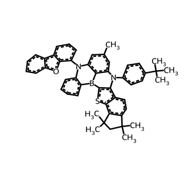 Cc1cc2c3c(c1)N(c1cccc4c1oc1ccccc14)c1ccccc1B3c1sc3c4c(ccc3c1N2c1ccc(C(C)(C)C)cc1)C(C)(C)CC4(C)C